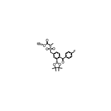 CN(C(=O)OC(C)(C)C)S(=O)(=O)Cc1ccc(C(=O)c2ccc(F)cc2)c(B2OC(C)(C)C(C)(C)O2)c1